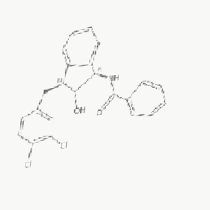 O=C(N[C@@H]1c2ccccc2[C@H](Cc2ccc(Cl)c(Cl)c2)C1O)c1ccccc1